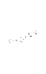 CCN(CC)c1ccc(C=Cc2ccc(C=Cc3ccc(C)cc3C)cc2)c(C)c1